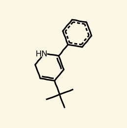 CC(C)(C)C1=CCNC(c2ccccc2)=C1